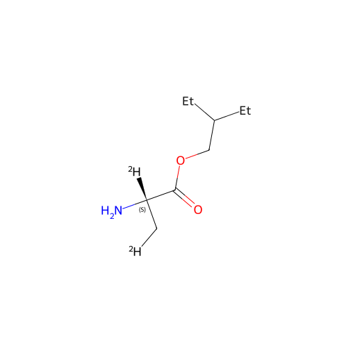 [2H]C[C@]([2H])(N)C(=O)OCC(CC)CC